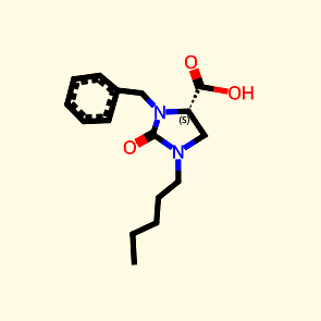 CCCCCN1C[C@@H](C(=O)O)N(Cc2ccccc2)C1=O